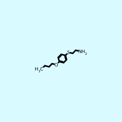 CCCCOc1ccc(SCCN)cc1